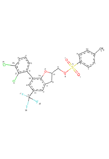 Cc1ccc(S(=O)(=O)OCC2Cc3cc(C(F)(F)F)cc(-c4cccc(Cl)c4Cl)c3O2)cc1